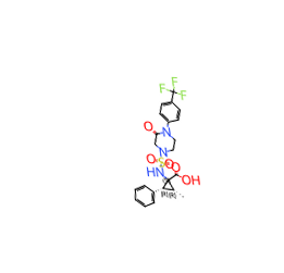 C[C@@H]1[C@H](c2ccccc2)[C@]1(NS(=O)(=O)N1CCN(c2ccc(C(F)(F)F)cc2)C(=O)C1)C(=O)O